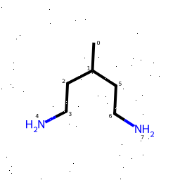 C[C](CCN)CCN